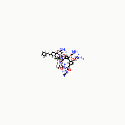 Cc1cc(CCC2CCCCC2)ccc1C(=O)N[C@@H](CCN)C(=O)N(C)[C@@H]1C(=O)N[C@@H](C)C(=O)N[C@H](C(=O)NCC#N)Cc2ccc(OCCN)c(c2)-c2cc1ccc2OCCN